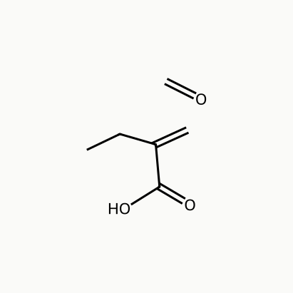 C=C(CC)C(=O)O.C=O